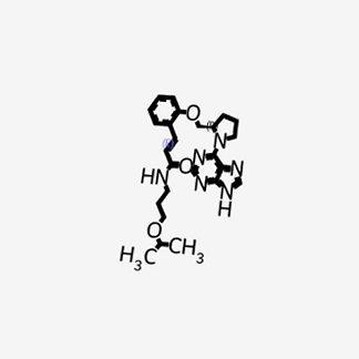 CC(C)OCCCNC(=O)/C=C/c1ccccc1OC[C@H]1CCCN1c1ncnc2[nH]cnc12